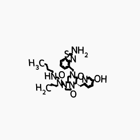 C=CCN(C(=O)NCCCC)N1CC(=O)N2C1CN(Cc1cccc3sc(N)nc13)C(=O)[C@@H]2Cc1ccc(O)cn1